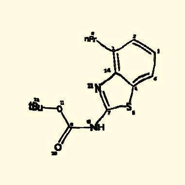 CCCc1cccc2sc(NC(=O)OC(C)(C)C)nc12